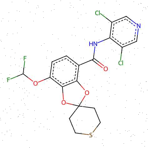 O=C(Nc1c(Cl)cncc1Cl)c1ccc(OC(F)F)c2c1OC1(CCSCC1)O2